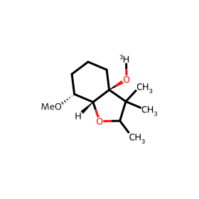 [3H]O[C@]12CCC[C@@H](OC)[C@H]1OC(C)C2(C)C